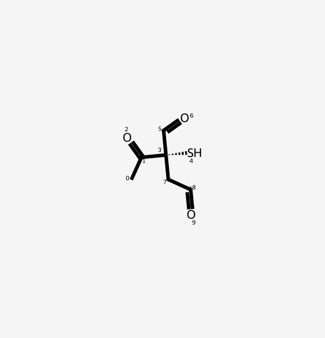 CC(=O)[C@@](S)([C]=O)C[C]=O